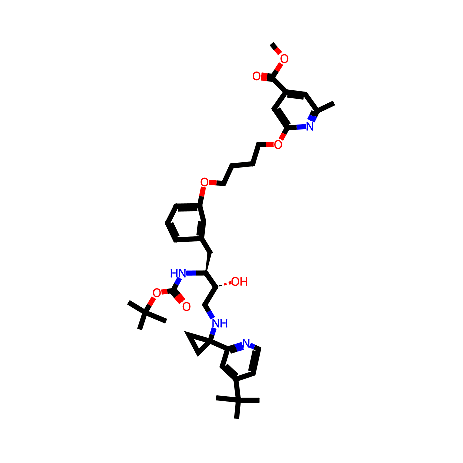 COC(=O)c1cc(C)nc(OCCCCOc2cccc(C[C@H](NC(=O)OC(C)(C)C)[C@H](O)CNC3(c4cc(C(C)(C)C)ccn4)CC3)c2)c1